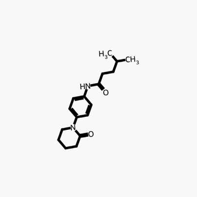 CC(C)CCC(=O)Nc1ccc(N2CCCCC2=O)cc1